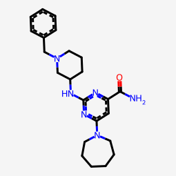 NC(=O)c1cc(N2CCCCCC2)nc(NC2CCCN(Cc3ccccc3)C2)n1